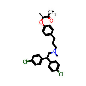 C[C@H](Oc1ccc(CCCN(C)CC(c2ccc(Cl)cc2)c2ccc(Cl)cc2)cc1)C(=O)C(F)(F)F